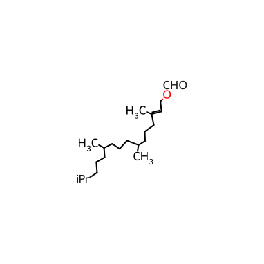 C/C(=C\COC=O)CCCC(C)CCCC(C)CCCC(C)C